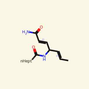 C/C=C/C(/C=C/C(N)=O)NC(=O)CCCCCCC